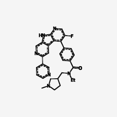 CCN(CC1CCN(C)C1)C(=O)c1ccc(-c2c(F)cnc3[nH]c4cnc(-c5cccnc5)cc4c23)cc1